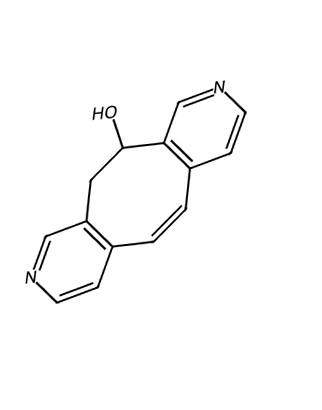 OC1Cc2cnccc2/C=C\c2ccncc21